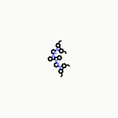 CCc1ccc2c(c1)c1cc(CC)ccc1n2-c1cccc(-n2c3ccccc3c3c2c2ccccc2n3-c2cccc(-n3c4ccc(CC)cc4c4cc(CC)ccc43)n2)n1